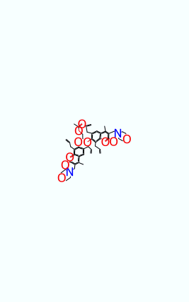 C=CCc1cc2c(C)c(CN3CCOCC3)c(=O)oc2c(CC=C)c1OC(COC(C)=O)Oc1c(CC=C)cc2c(C)c(CN3CCOCC3)c(=O)oc2c1CC=C